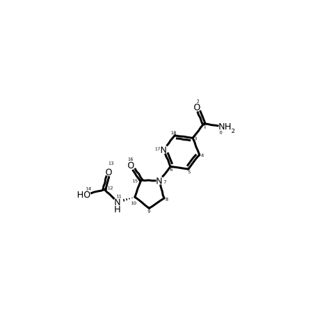 NC(=O)c1ccc(N2CC[C@H](NC(=O)O)C2=O)nc1